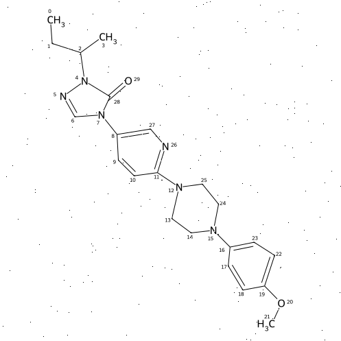 CCC(C)n1ncn(-c2ccc(N3CCN(c4ccc(OC)cc4)CC3)nc2)c1=O